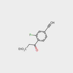 C#Cc1ccc(C(=O)CC(=O)OCC)c(F)c1